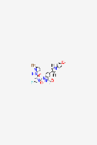 COc1ccc(N2C[C@@H]3CC[C@H]2C=C3c2ccc3c(c2)c(C(C)=O)nn3CC(=O)N2C[C@H](F)C[C@H]2C(=O)Nc2cccc(Br)n2)cc1